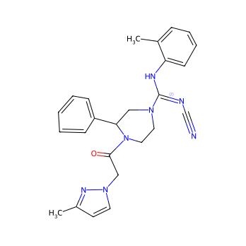 Cc1ccn(CC(=O)N2CCN(/C(=N\C#N)Nc3ccccc3C)CC2c2ccccc2)n1